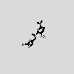 CN(C)c1ccc([N+](=O)[O-])c(N(C)Cc2cnc(Br)s2)n1